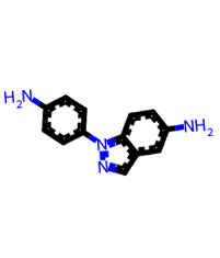 Nc1ccc(-n2ncc3cc(N)ccc32)cc1